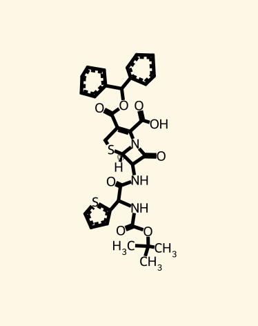 CC(C)(C)OC(=O)NC(C(=O)NC1C(=O)N2C(C(=O)O)=C(C(=O)OC(c3ccccc3)c3ccccc3)CS[C@@H]12)c1cccs1